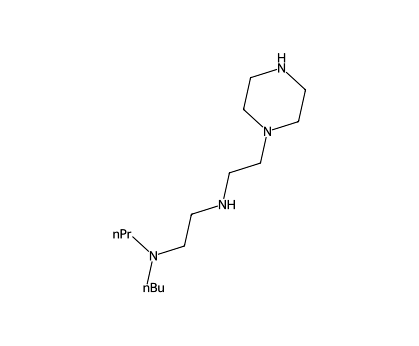 CCCCN(CCC)CCNCCN1CCNCC1